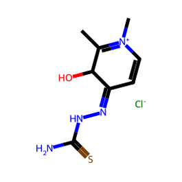 CC1=[N+](C)C=CC(=NNC(N)=S)C1O.[Cl-]